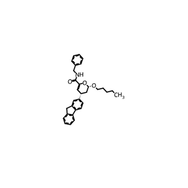 CCCCCO[C@@H]1C[C@H](c2ccc3c(c2)Cc2ccccc2-3)C=C(C(=O)NCc2ccccc2)O1